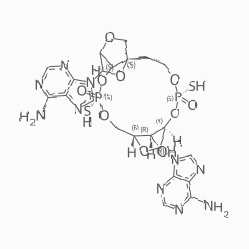 Nc1ncnc2c1ncn2C1O[C@]23CCO[P@](=O)(S)O[C@@H]4[C@H](O)[C@@H](CO[P@](=O)(S)O[C@H]2C1OC3)O[C@H]4n1cnc2c(N)ncnc21